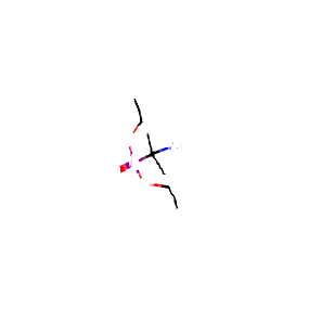 CCOP(=O)(OCC)C(C)(C)N